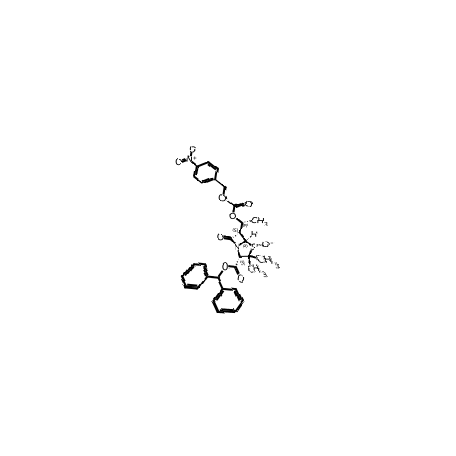 C[C@@H](OC(=O)OCc1ccc([N+](=O)[O-])cc1)[C@H]1C(=O)N2[C@@H]1[S+]([O-])C(C)(C)[C@@H]2C(=O)OC(c1ccccc1)c1ccccc1